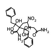 NC(=O)CCC(CC(C(N)=O)(C(O)(O)Cc1ccccc1)C(O)(O)Cc1ccccc1)[N+](=O)[O-]